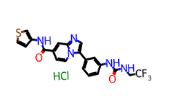 Cl.O=C(NCC(F)(F)F)Nc1cccc(-c2cnc3cc(C(=O)Nc4ccsc4)ccn23)c1